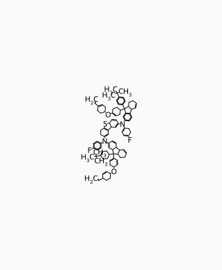 C=CC1=CCC(OC2=CCC(C3(c4ccc(C(C)(C)C)cc4)c4cc(N(C5=CC6C7=C(CCC(N(C8=CC9C(C=C8)C8C=CCCC8C9(C8=CCC(OC9C=CC(C=C)CC9)C=C8)C8CC=C(C(C)(C)C)CC8)c8ccc(F)cc8)=C7)SC6C=C5)C5=CC=C(F)CC5)ccc4C4C=CCCC43)CC2)CC1